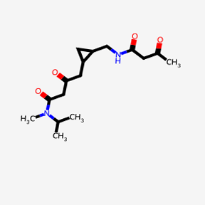 CC(=O)CC(=O)NCC1CC1CC(=O)CC(=O)N(C)C(C)C